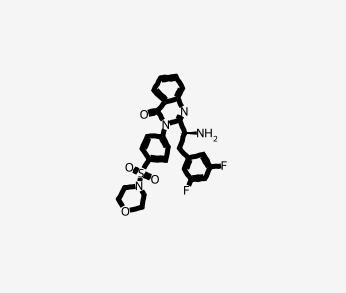 N[C@@H](Cc1cc(F)cc(F)c1)c1nc2ccccc2c(=O)n1-c1ccc(S(=O)(=O)N2CCOCC2)cc1